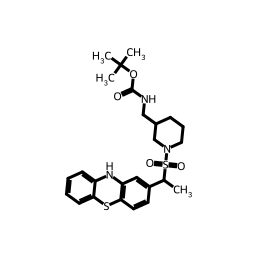 CC(c1ccc2c(c1)Nc1ccccc1S2)S(=O)(=O)N1CCCC(CNC(=O)OC(C)(C)C)C1